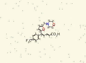 O=C(O)C=CC=C(c1ccc(C(F)(F)F)cc1)c1ccc(CN2CCOCC2)o1